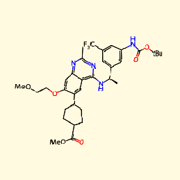 COCCOc1cc2nc(C)nc(N[C@H](C)c3cc(NC(=O)OC(C)(C)C)cc(C(F)(F)F)c3)c2cc1C1CCC(C(=O)OC)CC1